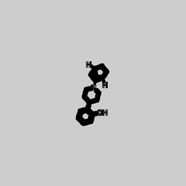 Oc1ccccc1C1CCN([C@@H]2C[C@@H]3CC[C@H]2C3)CC1